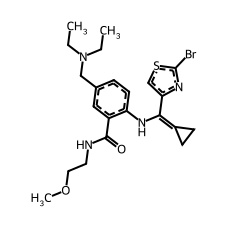 CCN(CC)Cc1ccc(NC(=C2CC2)c2csc(Br)n2)c(C(=O)NCCOC)c1